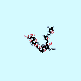 C=C1CO[C@@H](CC[C@@H]2O[C@@H](CC[C@@]3(O)C[C@@H](OC)C4=C[C@@H](O3)[C@H]3O[C@@H](CC(=O)O[C@@H]5[C@@H](C)[C@@H]6O[C@H](CO)[C@H](O)C[C@@H]6O[C@H]5C)CC[C@@H]3O4)CC2=C)C[C@H]1C